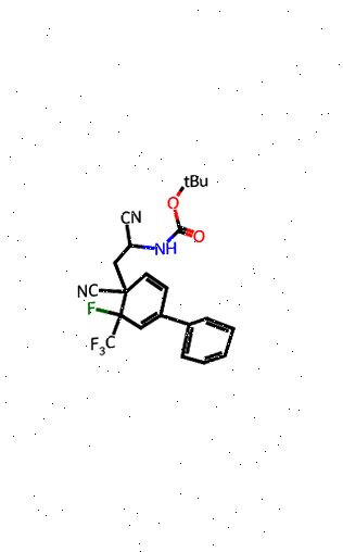 CC(C)(C)OC(=O)NC(C#N)CC1(C#N)C=CC(c2ccccc2)=CC1(F)C(F)(F)F